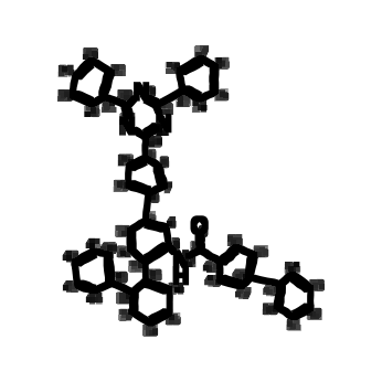 O=C(Nc1cc(-c2ccc(-c3nc(-c4ccccc4)nc(-c4ccccc4)n3)cc2)ccc1-c1ccccc1-c1ccccc1)c1ccc(-c2ccccc2)cc1